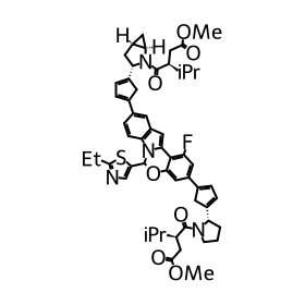 CCc1ncc(C2Oc3cc(C4=CC=C([C@@H]5CCCN5C(=O)[C@@H](CC(=O)OC)C(C)C)C4)cc(F)c3-c3cc4cc(C5=CC=C([C@@H]6C[C@H]7C[C@H]7N6C(=O)[C@@H](CC(=O)OC)C(C)C)C5)ccc4n32)s1